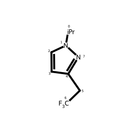 CC(C)n1ccc(CC(F)(F)F)n1